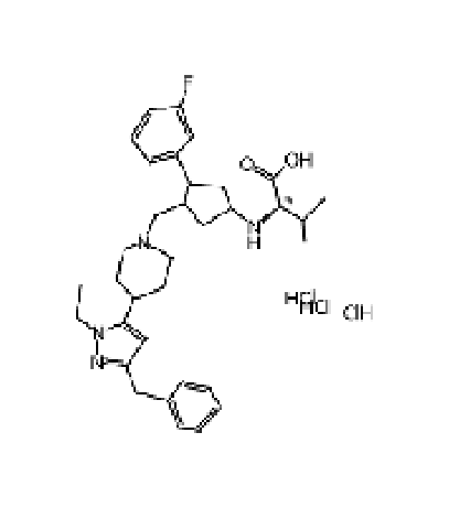 CCn1nc(Cc2ccccc2)cc1C1CCN(CC2CC(N[C@@H](C(=O)O)C(C)C)CC2c2cccc(F)c2)CC1.Cl.Cl.Cl